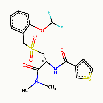 CN(C#N)C(=O)[C@H](CS(=O)(=O)Cc1ccccc1OC(F)F)NC(=O)c1ccsc1